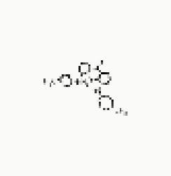 CC1=CC=C(Nc2cccc3c2C(=O)c2c(Nc4ccc(C)cc4)cccc2C3=O)C=CC1